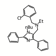 CCCCn1c(-c2ccccc2)nc(-c2ccccc2)c1CN(CC)Cc1ccccc1Cl